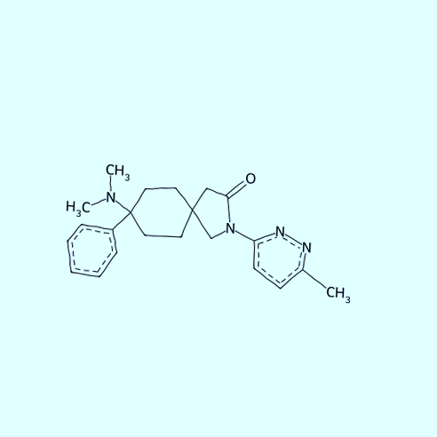 Cc1ccc(N2CC3(CCC(c4ccccc4)(N(C)C)CC3)CC2=O)nn1